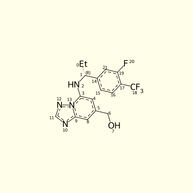 CC[C@@H](Nc1cc(CO)cc2ncnn12)c1ccc(C(F)(F)F)c(F)c1